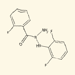 NN(Nc1c(F)cccc1F)C(=O)c1ccccc1F